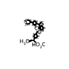 CC#CC(CC(=O)O)c1ccc(COc2ccc3scc(-c4ccc(C5=CCSCC5)cc4C)c3c2)cc1